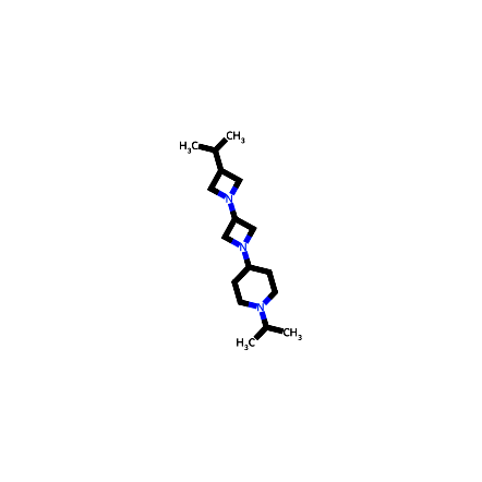 CC(C)C1CN(C2CN(C3CCN(C(C)C)CC3)C2)C1